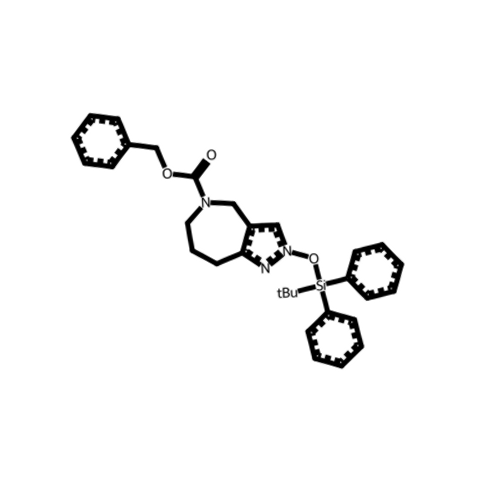 CC(C)(C)[Si](On1cc2c(n1)CCCN(C(=O)OCc1ccccc1)C2)(c1ccccc1)c1ccccc1